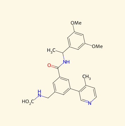 COc1cc(OC)cc(C(C)NC(=O)c2cc(CNC(=O)O)cc(-c3cnccc3C)c2)c1